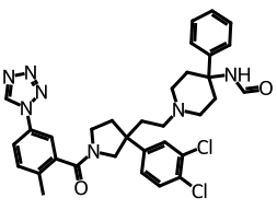 Cc1ccc(-n2cnnn2)cc1C(=O)N1CCC(CCN2CCC(NC=O)(c3ccccc3)CC2)(c2ccc(Cl)c(Cl)c2)C1